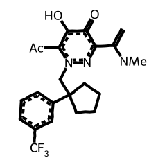 C=C(NC)c1nn(CC2(c3cccc(C(F)(F)F)c3)CCCC2)c(C(C)=O)c(O)c1=O